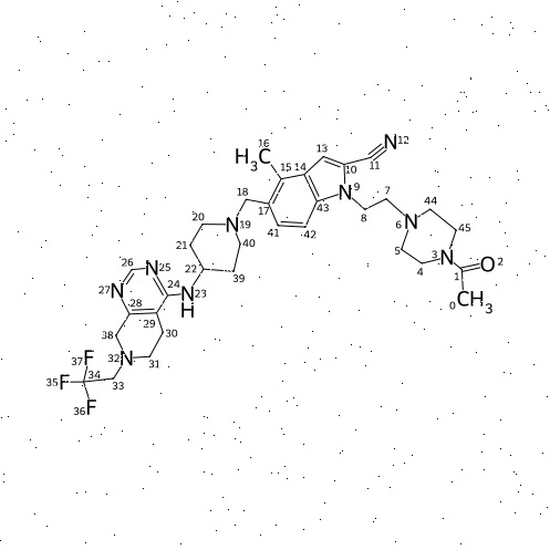 CC(=O)N1CCN(CCn2c(C#N)cc3c(C)c(CN4CCC(Nc5ncnc6c5CCN(CC(F)(F)F)C6)CC4)ccc32)CC1